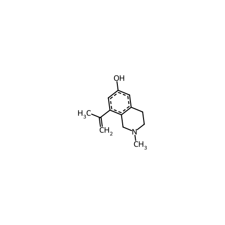 C=C(C)c1cc(O)cc2c1CN(C)CC2